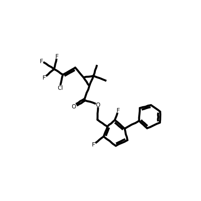 CC1(C)C(C=C(Cl)C(F)(F)F)C1C(=O)OCc1c(F)ccc(-c2ccccc2)c1F